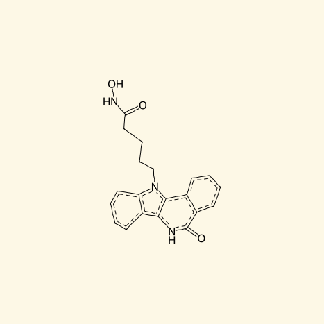 O=C(CCCCn1c2ccccc2c2[nH]c(=O)c3ccccc3c21)NO